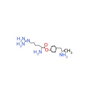 C[C@@H](N)Cc1ccc(OC(=O)C(N)CCCCN=C(N)N)cc1